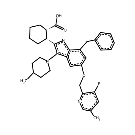 Cc1cnc(COc2cc(Cc3ccccc3)c3nc([C@@H]4CCCC[C@@H]4C(=O)O)n(N4CCC(C)CC4)c3c2)c(F)c1